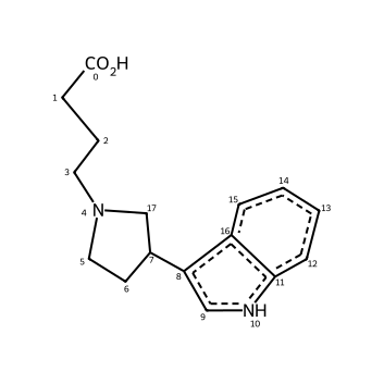 O=C(O)CCCN1CCC(c2c[nH]c3ccccc23)C1